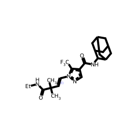 CCNC(=O)C(C)(C)/C=C/n1ncc(C(=O)NC2C3CC4CC(C3)CC2C4)c1C(F)(F)F